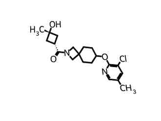 Cc1cnc(OC2CCC3(CC2)CN(C(=O)[C@H]2C[C@@](C)(O)C2)C3)c(Cl)c1